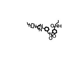 CCCNC(=O)c1ccc2oc(=O)n(Cc3cccc(-c4ncc(N5CCN(CC)CC5)cn4)c3)c2c1